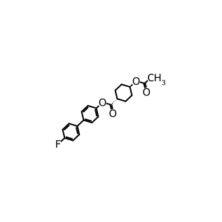 CC(=O)O[C@H]1CC[C@H](C(=O)Oc2ccc(-c3ccc(F)cc3)cc2)CC1